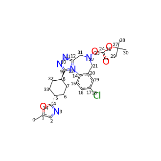 Cc1cnc([C@H]2CC[C@H](c3nnc4n3-c3ccc(Cl)cc3CN(OC(=O)OC(C)(C)C)C4)CC2)o1